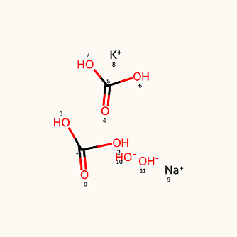 O=C(O)O.O=C(O)O.[K+].[Na+].[OH-].[OH-]